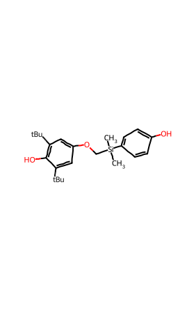 CC(C)(C)c1cc(OC[Si](C)(C)c2ccc(O)cc2)cc(C(C)(C)C)c1O